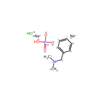 CN(C)Cc1ccccc1.Cl.O=P([O-])([O-])O.[Na+].[Na+]